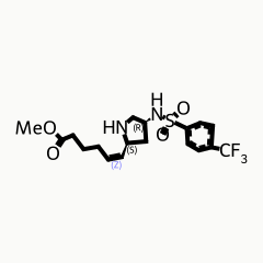 COC(=O)CCC/C=C\[C@@H]1C[C@@H](NS(=O)(=O)c2ccc(C(F)(F)F)cc2)CN1